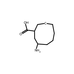 NC1CCCCCCC(C(=O)O)C1